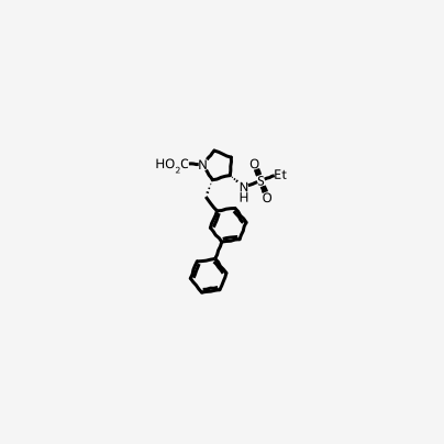 CCS(=O)(=O)N[C@H]1CCN(C(=O)O)[C@H]1Cc1cccc(-c2ccccc2)c1